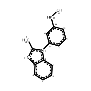 Cc1nc2ccccc2n1-c1cccc(PO)c1